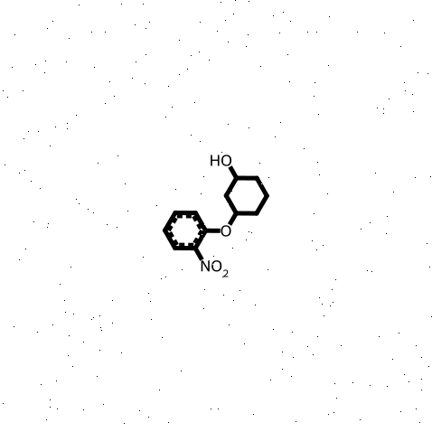 O=[N+]([O-])c1ccccc1OC1CCCC(O)C1